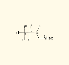 CCCCCCCC(I)C(I)(I)C(I)(I)I